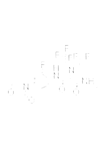 NC(=O)[C@H](C(=O)Nc1ccc(N2CCOCC2=O)cc1F)N(CC(F)F)CC(F)(F)F